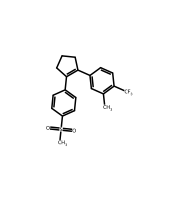 Cc1cc(C2=C(c3ccc(S(C)(=O)=O)cc3)CCC2)ccc1C(F)(F)F